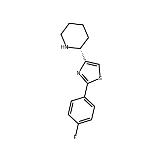 Fc1ccc(-c2nc([C@H]3CCCCN3)cs2)cc1